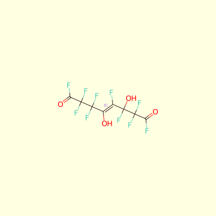 O=C(F)C(F)(F)C(O)(F)/C(F)=C(\O)C(F)(F)C(F)(F)C(=O)F